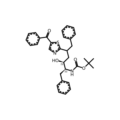 CC(C)(C)OC(=O)N[C@@H](Cc1ccccc1)[C@@H](O)CC(Cc1ccccc1)c1ncc(C(=O)c2ccccc2)s1